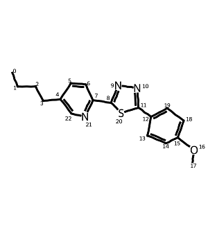 CCCCc1ccc(-c2nnc(-c3ccc(OC)cc3)s2)nc1